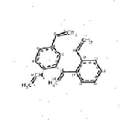 C=C.C=Cc1ccccc1.C=Cc1ccccc1C=C